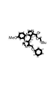 COc1ccc2c(c1)-n1nnc(COc3ccccc3)c1Cc1c(C(=O)OCC(C)(C)C)ncn1-2